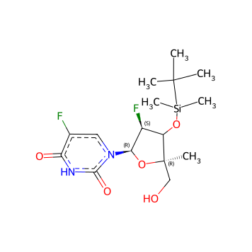 CC(C)(C)[Si](C)(C)OC1[C@H](F)[C@H](n2cc(F)c(=O)[nH]c2=O)O[C@]1(C)CO